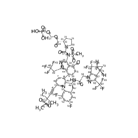 CC(C)(C#Cc1ccc(-c2ccc(Cl)c3c(N(C(=O)N4CCC[C@H]4C(=O)OCOP(=O)(O)O)S(C)(=O)=O)nn(CC(F)(F)F)c23)c([C@H](Cc2cc(F)cc(F)c2)NC(=O)Cn2nc(C(F)(F)F)c3c2C(F)(F)[C@@H]2C[C@H]32)n1)S(C)(=O)=O